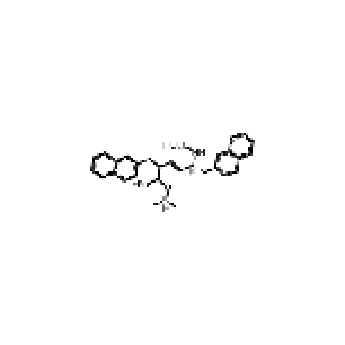 C[SiH](C)OC(C(C=C[C@@H](Cc1ccc2ccccc2c1)NC(=O)O)Cc1ccc2ccccc2c1)C(C)(C)C